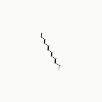 [CH2]C/C=C/C=C/C=C/C=C/CC